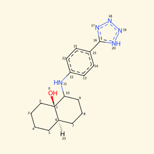 O[C@]12CCCC[C@@H]1CCCC2Nc1ccc(-c2nnn[nH]2)cc1